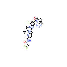 C[C@@H](NC(=O)[C@@H]1CC1(F)F)c1ccc2cc(-c3nc4cc(C(=O)N5C[C@H](N)[C@@H]6CC[C@H]5C6)cc(F)c4n3C3CC3)n(CC3CC3)c2n1